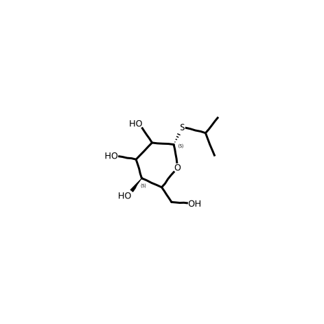 CC(C)S[C@@H]1OC(CO)[C@@H](O)C(O)C1O